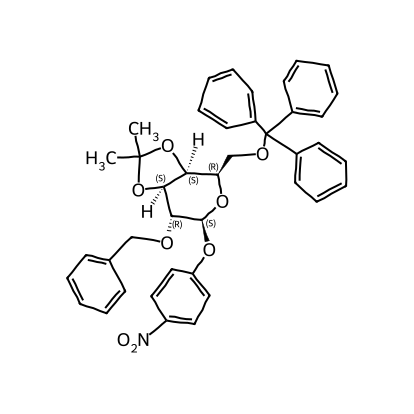 CC1(C)O[C@H]2[C@@H](O1)[C@@H](COC(c1ccccc1)(c1ccccc1)c1ccccc1)O[C@@H](Oc1ccc([N+](=O)[O-])cc1)[C@@H]2OCc1ccccc1